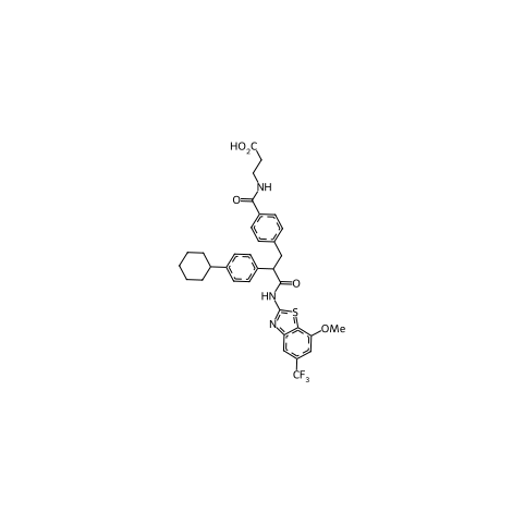 COc1cc(C(F)(F)F)cc2nc(NC(=O)C(Cc3ccc(C(=O)NCCC(=O)O)cc3)c3ccc(C4CCCCC4)cc3)sc12